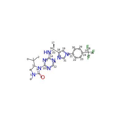 CC(C)C1CN(C)C(=O)N1c1ncnc(N[C@@H](C)c2cn(-c3ccc(C(F)(F)F)cc3)cn2)n1